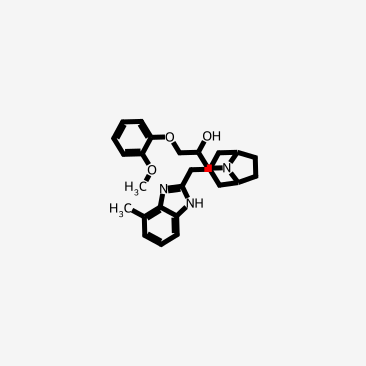 COc1ccccc1OCC(O)CN1C2CCC1CC(Cc1nc3c(C)cccc3[nH]1)C2